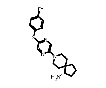 CCc1ccc(Sc2cnc(N3CCC4(CCC[C@@H]4N)CC3)cn2)cc1